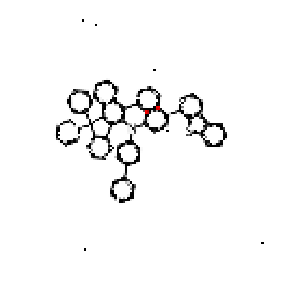 C1=CCC(C2(c3ccccc3)c3ccccc3-c3c(N(c4ccc(-c5ccccc5)cc4)c4ccc(-c5cccc6c5sc5ccccc56)cc4)c(-c4ccccc4)c4ccccc4c32)C=C1